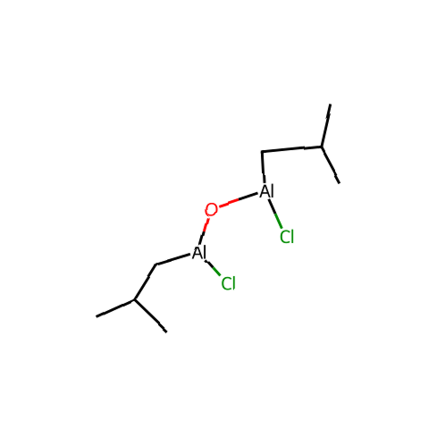 CC(C)[CH2][Al]([Cl])[O][Al]([Cl])[CH2]C(C)C